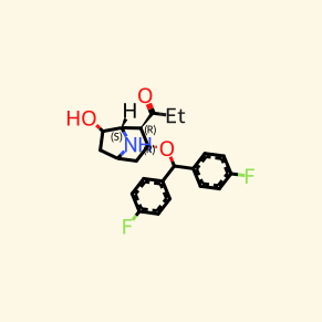 CCC(=O)[C@@H]1[C@@H]2NC(CC2O)C[C@H]1OC(c1ccc(F)cc1)c1ccc(F)cc1